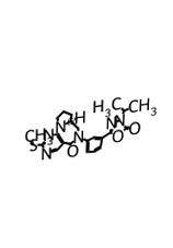 CSc1ncc2c(n1)N1CCC[C@H]1CN(c1cccc(-c3nn(C(C)C)c(=O)o3)c1)C2=O